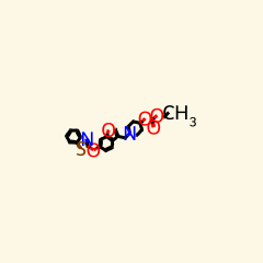 CCOC(=O)OC1CCN(Cc2coc3cc(Oc4nc5ccccc5s4)ccc23)CC1